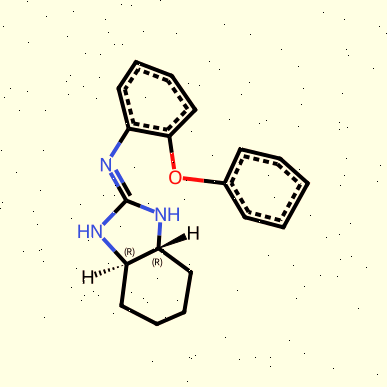 c1ccc(Oc2ccccc2N=C2N[C@@H]3CCCC[C@H]3N2)cc1